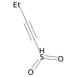 CCC#C[SH](=O)=O